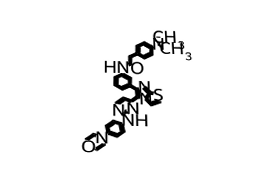 CN(C)c1ccc(CC(=O)Nc2cccc(-c3nc4sccn4c3-c3ccnc(Nc4ccc(N5CCOCC5)cc4)n3)c2)cc1